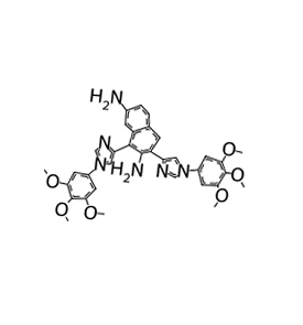 COc1cc(-n2cnc(-c3cc4ccc(N)cc4c(-c4cn(-c5cc(OC)c(OC)c(OC)c5)cn4)c3N)c2)cc(OC)c1OC